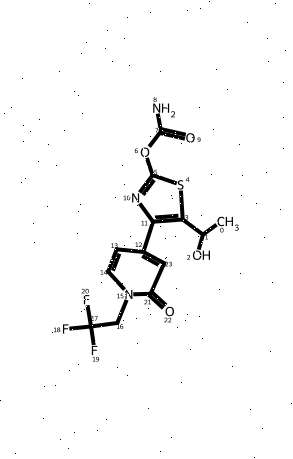 CC(O)c1sc(OC(N)=O)nc1-c1ccn(CC(F)(F)F)c(=O)c1